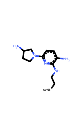 CC(=O)NCCNc1nc(N2CCC(N)C2)ccc1N